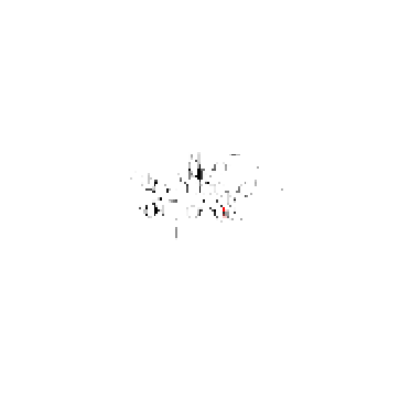 Cc1ccc(N(c2ccc3c(c2)C(C)(C)c2cc4c(N(c5ccc(C)cc5)c5cnccn5)c5ccc(N(c6ccc(C)cc6)c6cnccn6)cc5c(N(c5ccc(C)cc5)c5cnccn5)c4cc2-3)c2cnccn2)cc1